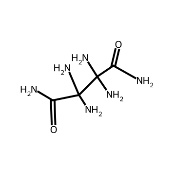 NC(=O)C(N)(N)C(N)(N)C(N)=O